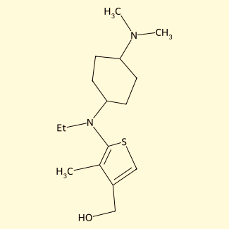 CCN(c1scc(CO)c1C)C1CCC(N(C)C)CC1